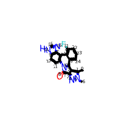 Cc1c2c(nn1C)C(=O)N1c3ccc4[nH]cnc4c3-c3c(F)cccc3C21